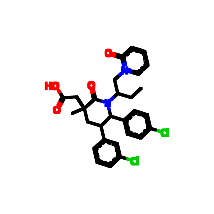 CCC(Cn1ccccc1=O)N1C(=O)C(C)(CC(=O)O)CC(c2cccc(Cl)c2)C1c1ccc(Cl)cc1